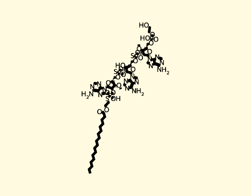 CCCCCCCCCCCCCCCCCC(=O)OCCSP(=O)(O)OC1[C@@H](OC)[C@@H](COP(O)(=S)OC2[C@@H](O)[C@@H](COP(O)(=S)OC3[C@@H](OC)[C@@H](COP(=O)(O)OCCO)O[C@H]3n3cnc4c(N)ncnc43)O[C@H]2n2cnc3c(N)ncnc32)O[C@H]1n1cnc2c(N)ncnc21